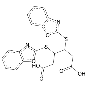 O=C(O)CC(Sc1nc2ccccc2o1)C(CC(=O)O)Sc1nc2ccccc2o1